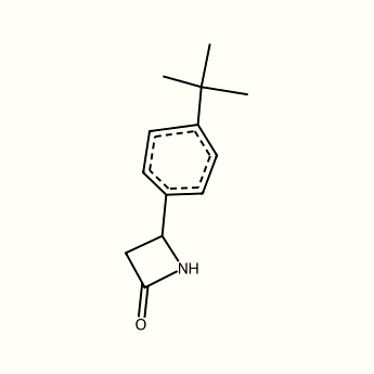 CC(C)(C)c1ccc(C2CC(=O)N2)cc1